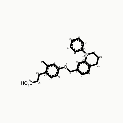 Cc1cc(OCc2ccc3c(c2)N(c2ccccc2)CCC3)ccc1CCC(=O)O